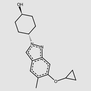 Cc1cc2cn([C@H]3CC[C@H](O)CC3)nc2cc1OC1CC1